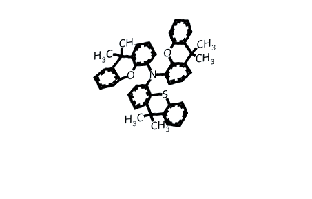 CC1(C)c2ccccc2Oc2c(N(c3cccc4c3Oc3ccccc3C4(C)C)c3cccc4c3Sc3ccccc3C4(C)C)cccc21